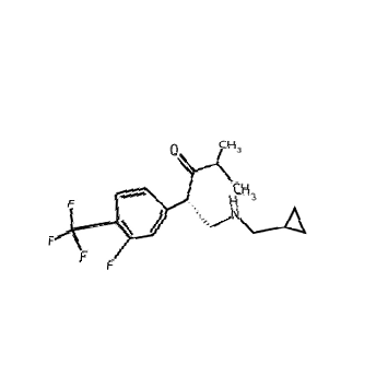 CC(C)C(=O)[C@H](CNCC1CC1)c1ccc(C(F)(F)F)c(F)c1